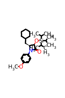 COc1ccc(N2C(=O)[C@H](O[Si](C(C)C)(C(C)C)C(C)C)[C@@H]2CC2CCCCC2)cc1